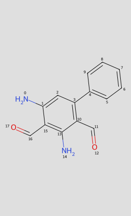 Nc1cc(-c2ccccc2)c(C=O)c(N)c1C=O